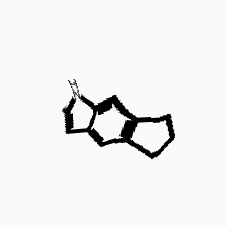 c1cc2cc3c(cc2[nH]1)CCC3